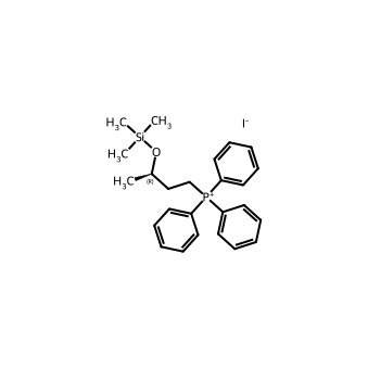 C[C@H](CC[P+](c1ccccc1)(c1ccccc1)c1ccccc1)O[Si](C)(C)C.[I-]